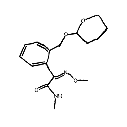 CNC(=O)C(=NOC)c1ccccc1COC1CCCCO1